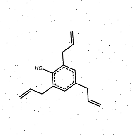 C=C[CH]c1cc(CC=C)c(O)c(CC=C)c1